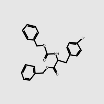 O=C(NC(Cc1[c]cc(Br)cc1)C(=O)OCc1ccccc1)OCc1ccccc1